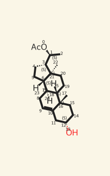 CC(=O)O[C@@H](C)[C@H]1CC[C@H]2[C@@H]3CC=C4C[C@@H](O)CC[C@@]4(C)[C@H]3CC[C@]12C